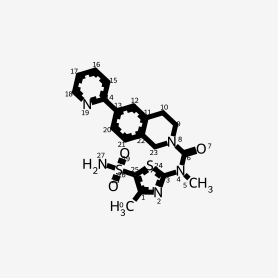 Cc1nc(N(C)C(=O)N2CCc3cc(-c4ccccn4)ccc3C2)sc1S(N)(=O)=O